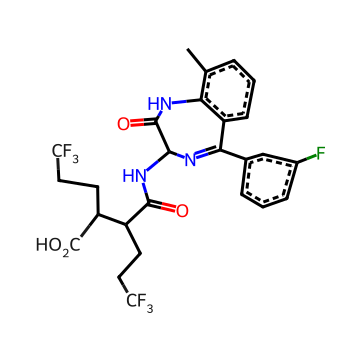 Cc1cccc2c1NC(=O)C(NC(=O)C(CCC(F)(F)F)C(CCC(F)(F)F)C(=O)O)N=C2c1cccc(F)c1